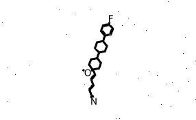 COC1(C=CC=CC#N)CCC(C2CCC(c3ccc(F)cc3)CC2)CC1